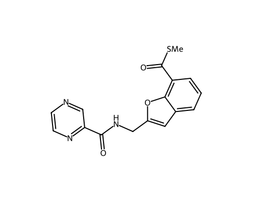 CSC(=O)c1cccc2cc(CNC(=O)c3cnccn3)oc12